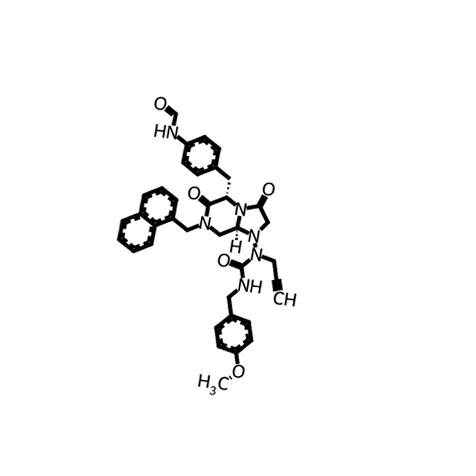 C#CCN(C(=O)NCc1ccc(OC)cc1)N1CC(=O)N2[C@@H](Cc3ccc(NC=O)cc3)C(=O)N(Cc3cccc4ccccc34)C[C@@H]21